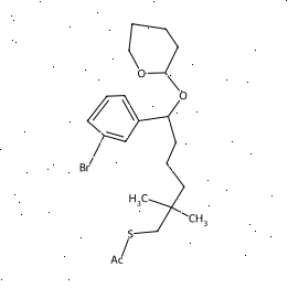 CC(=O)SCC(C)(C)CCCC(OC1CCCCO1)c1cccc(Br)c1